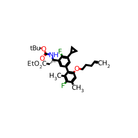 C=CCCCOc1cc(C)c(F)c(C)c1-c1cc(C2CC2)c(F)c([C@H](CC(=O)OCC)NC(=O)OC(C)(C)C)c1